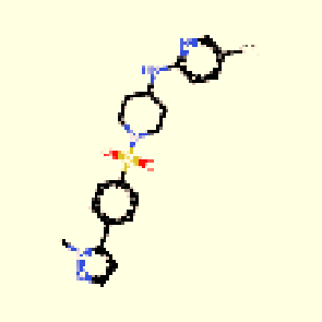 Cn1nccc1-c1ccc(S(=O)(=O)N2CCC(Nc3ccc(C(F)(F)F)cn3)CC2)cc1